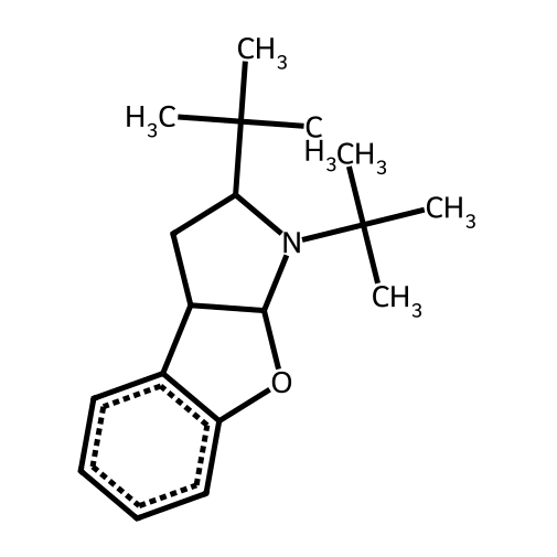 CC(C)(C)C1CC2c3ccccc3OC2N1C(C)(C)C